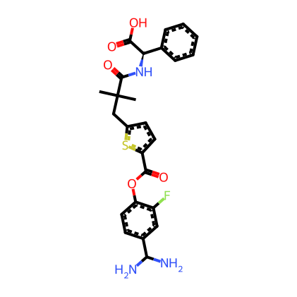 CC(C)(Cc1ccc(C(=O)Oc2ccc(C(N)N)cc2F)s1)C(=O)N[C@@H](C(=O)O)c1ccccc1